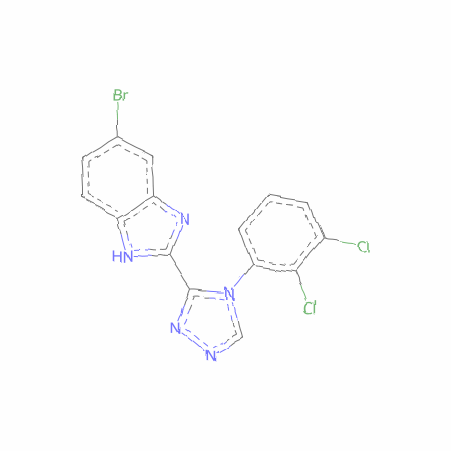 Clc1cccc(-n2cnnc2-c2nc3cc(Br)ccc3[nH]2)c1Cl